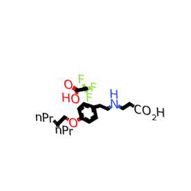 CCCC(CCC)COc1ccc(CCNCCC(=O)O)cc1.O=C(O)C(F)(F)F